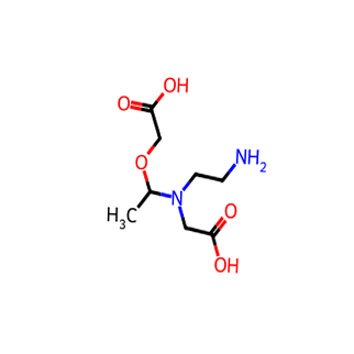 CC(OCC(=O)O)N(CCN)CC(=O)O